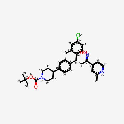 Cc1cc(/C(C[C@H](c2ccc(C3CCN(C(=O)OC(C)(C)C)CC3)cc2)c2ccc(Cl)cc2C)=N/O)ccn1